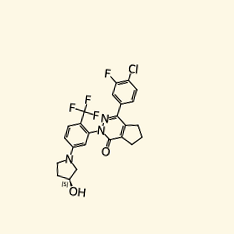 O=c1c2c(c(-c3ccc(Cl)c(F)c3)nn1-c1cc(N3CC[C@H](O)C3)ccc1C(F)(F)F)CCC2